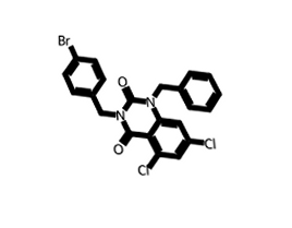 O=c1c2c(Cl)cc(Cl)cc2n(Cc2ccccc2)c(=O)n1Cc1ccc(Br)cc1